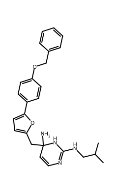 CC(C)CNC1=NC=CC(N)(Cc2ccc(-c3ccc(OCc4ccccc4)cc3)o2)N1